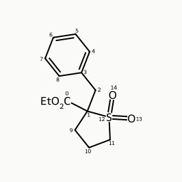 CCOC(=O)C1(Cc2ccccc2)CCCS1(=O)=O